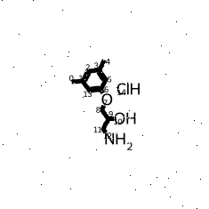 Cc1cc(C)cc(OCC(O)CN)c1.Cl